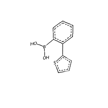 OB(O)c1ccccc1-c1cccs1